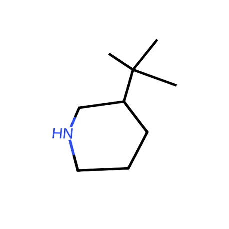 CC(C)(C)C1CCCNC1